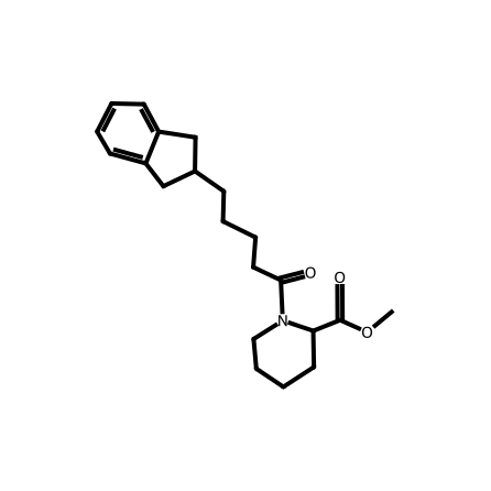 COC(=O)C1CCCCN1C(=O)CCCCC1Cc2ccccc2C1